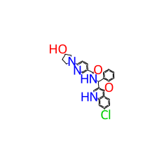 O=C(NC(c1ccccc1)c1c[nH]c2cc(Cl)ccc2c1=O)c1ccc(N2CC[C@@H](O)C2)nc1